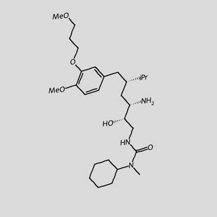 COCCCOc1cc(C[C@@H](C[C@H](N)[C@@H](O)CNC(=O)N(C)C2CCCCC2)C(C)C)ccc1OC